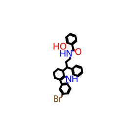 O=C(NCCC(c1ccccc1)C1CCCc2c1[nH]c1ccc(Br)cc21)c1ccccc1O